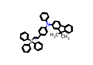 CC1(C)c2ccccc2-c2ccc(N(c3ccccc3)c3ccc(/C=C/[Si](c4ccccc4)(c4ccccc4)c4ccccc4)cc3)cc21